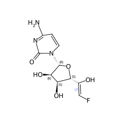 Nc1ccn([C@@H]2O[C@H](/C(O)=C/F)[C@@H](O)[C@H]2O)c(=O)n1